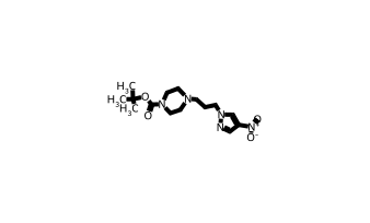 CC(C)(C)OC(=O)N1CCN(CCCn2cc([N+](=O)[O-])cn2)CC1